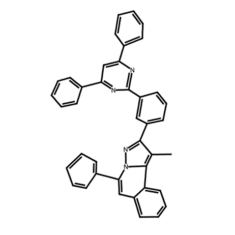 Cc1c(-c2cccc(-c3nc(-c4ccccc4)cc(-c4ccccc4)n3)c2)nn2c(-c3ccccc3)cc3ccccc3c12